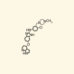 CN1CCN(Cc2cc(Nc3nc4ccc(Oc5ccnc6[nH]ccc56)cc4[nH]3)ccc2Cl)CC1